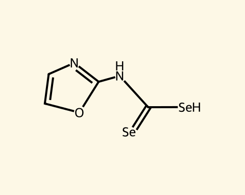 [Se]=C([SeH])Nc1ncco1